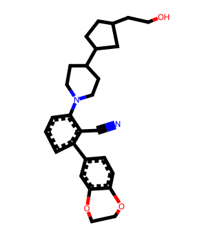 N#Cc1c(-c2ccc3c(c2)OCCO3)cccc1N1CCC(C2CCC(CCO)C2)CC1